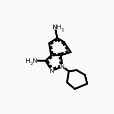 Nc1ccc2c(c1)c(N)nn2C1CCCCC1